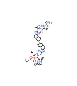 C#C[C@@H](COCC1CCC1)CN(Cc1nc2ccc3cc(-c4ccc5c(ccc6nc([C@@H]7C(=C)CCN7C(=O)[C@@H](NC(=O)OC)C(C)C)[nH]c65)c4)ccc3c2[nH]1)C(=O)[C@@H](NC(=O)OC)C(C)C